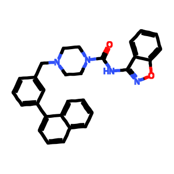 O=C(Nc1noc2ccccc12)N1CCN(Cc2cccc(-c3cccc4ccccc34)c2)CC1